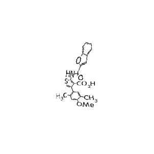 COc1cc(C)c(-c2csc(NC(=O)c3cc4ccccc4o3)c2C(=O)O)cc1C